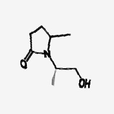 CC1CCC(=O)N1[C@@H](C)CO